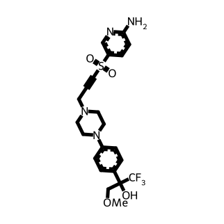 COCC(O)(c1ccc(N2CCN(CC#CS(=O)(=O)c3ccc(N)nc3)CC2)cc1)C(F)(F)F